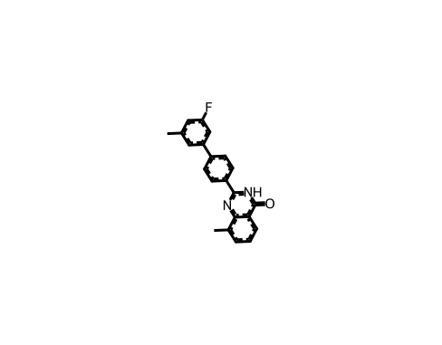 Cc1cc(F)cc(-c2ccc(-c3nc4c(C)cccc4c(=O)[nH]3)cc2)c1